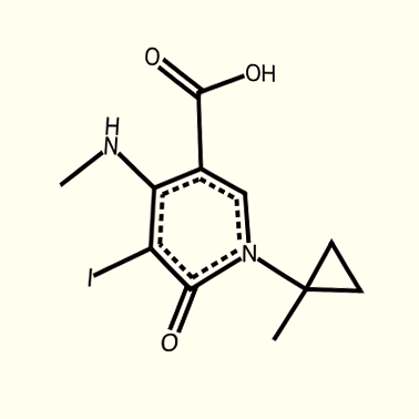 CNc1c(C(=O)O)cn(C2(C)CC2)c(=O)c1I